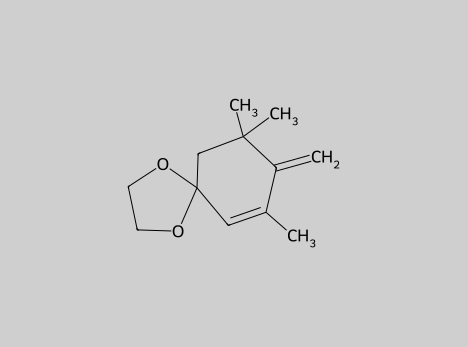 C=C1C(C)=CC2(CC1(C)C)OCCO2